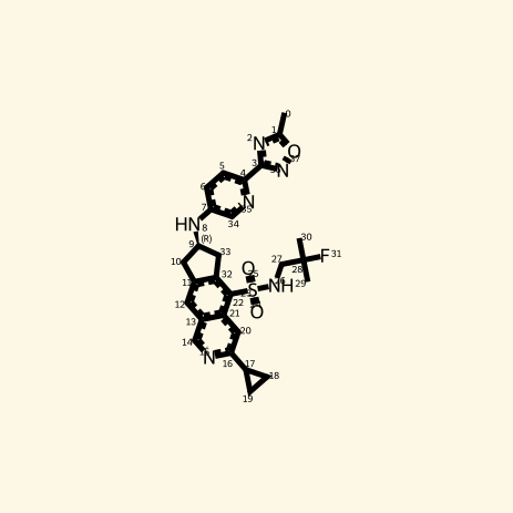 Cc1nc(-c2ccc(N[C@@H]3Cc4cc5cnc(C6CC6)cc5c(S(=O)(=O)NCC(C)(C)F)c4C3)cn2)no1